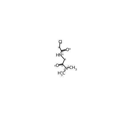 CN(C)C(=O)CNC(=O)CCl